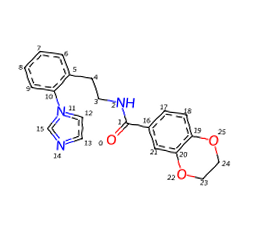 O=C(NCCc1ccccc1-n1ccnc1)c1ccc2c(c1)OCCO2